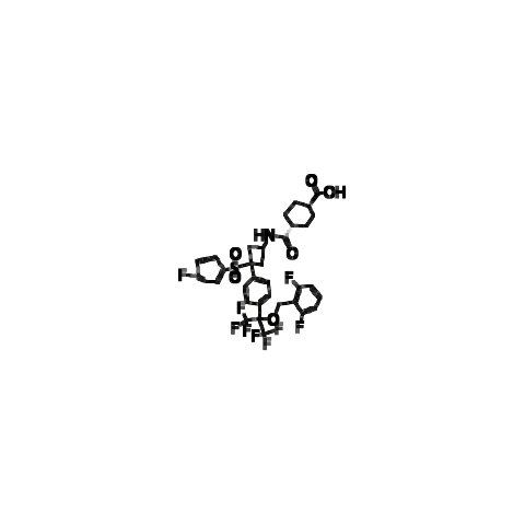 O=C(O)[C@H]1CC[C@H](C(=O)NC2CC(c3ccc(C(OCc4c(F)cccc4F)(C(F)(F)F)C(F)(F)F)cc3)(S(=O)(=O)c3ccc(F)cc3)C2)CC1